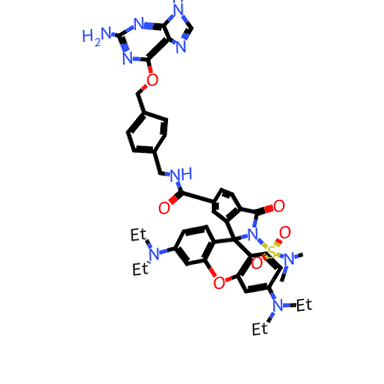 CCN(CC)c1ccc2c(c1)Oc1cc(N(CC)CC)ccc1C21c2cc(C(=O)NCc3ccc(COc4nc(N)nc5[nH]cnc45)cc3)ccc2C(=O)N1S(=O)(=O)N(C)C